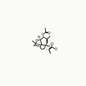 CC(=O)O[C@@H]1C(C)=C[C@@H]2[C@H](C(C)=C(Cl)Cl)CC[C@@H](C)[C@@]23OC(C)(C)O[C@@H]13